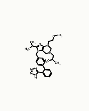 COCCN1CN(CC(C)C)Cc2c1nc(C(C)C)n2Cc1ccc(-c2ccccc2-c2nnn[nH]2)cc1